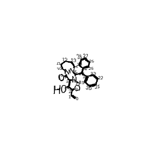 C=CC(=O)/C(O)=C1/C(=O)N2CCCCCN2C(C(c2ccccc2)c2ccccc2)N1C